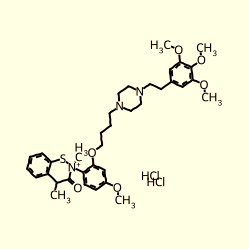 COc1ccc([N+]2(C)Sc3ccccc3C(C)C2=O)c(OCCCCN2CCN(CCc3cc(OC)c(OC)c(OC)c3)CC2)c1.Cl.Cl